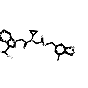 NC(=O)c1nn(CC(=O)N(CC(=O)NCc2cc(Cl)c3cn[nH]c3c2)C2CC2)c2ccccc12